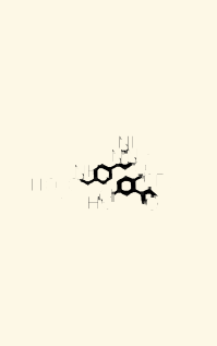 Cl.Nc1nc(OC(c2ccc(Cl)cc2-c2ccoc2)C(F)(F)F)cc(C2=CCC(CC(N)C(=O)O)CC2)n1